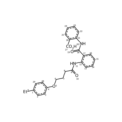 CCc1ccc(OCCCC(=O)Nc2ccccc2C(=O)Nc2ccccc2C(=O)O)cc1